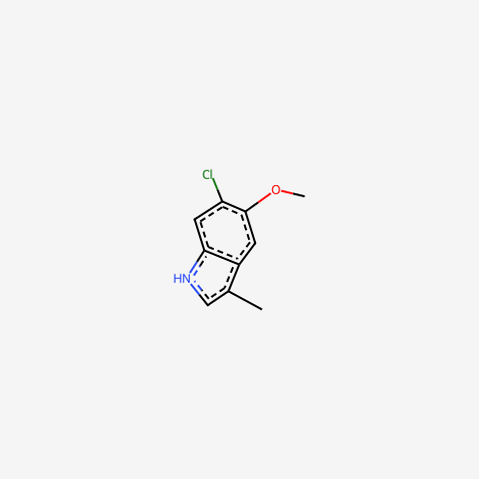 COc1cc2c(C)c[nH]c2cc1Cl